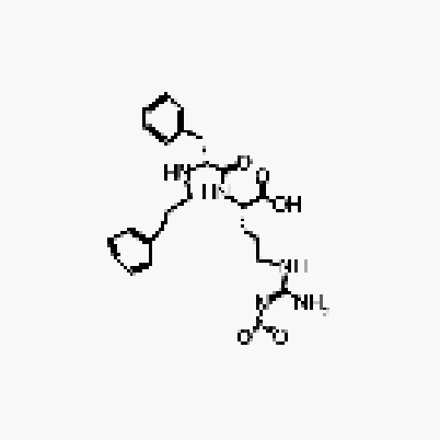 NC(=N[N+](=O)[O-])NCCC[C@H](NC(=O)[C@@H](Cc1ccccc1)NCCCc1ccccc1)C(=O)O